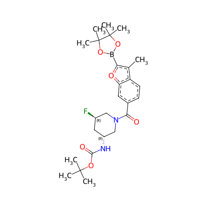 Cc1c(B2OC(C)(C)C(C)(C)O2)oc2cc(C(=O)N3C[C@H](F)C[C@@H](NC(=O)OC(C)(C)C)C3)ccc12